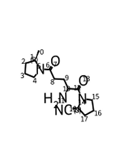 C[C@@H]1CCCN1C(=O)CCC(N)C(=O)N1CCC[C@H]1C#N